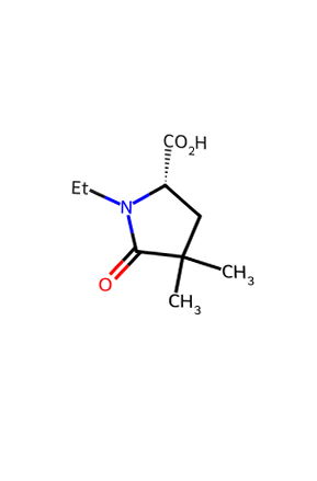 CCN1C(=O)C(C)(C)C[C@H]1C(=O)O